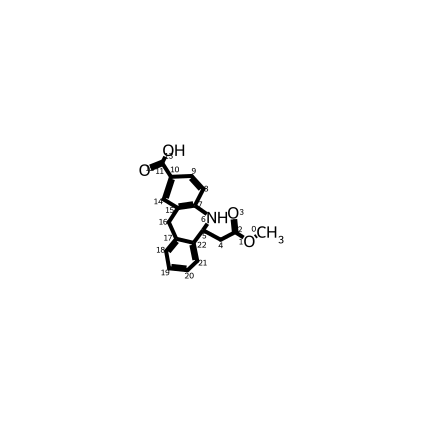 COC(=O)CC1Nc2ccc(C(=O)O)cc2Cc2ccccc21